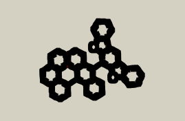 c1ccc2c(c1)ccc1cccc(-c3c4ccccc4c(-c4c5oc6ccccc6c5cc5c4oc4ccccc45)c4ccccc34)c12